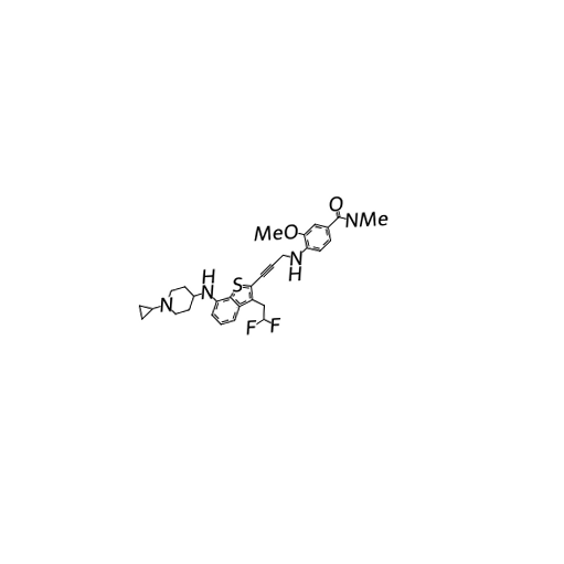 CNC(=O)c1ccc(NCC#Cc2sc3c(NC4CCN(C5CC5)CC4)cccc3c2CC(F)F)c(OC)c1